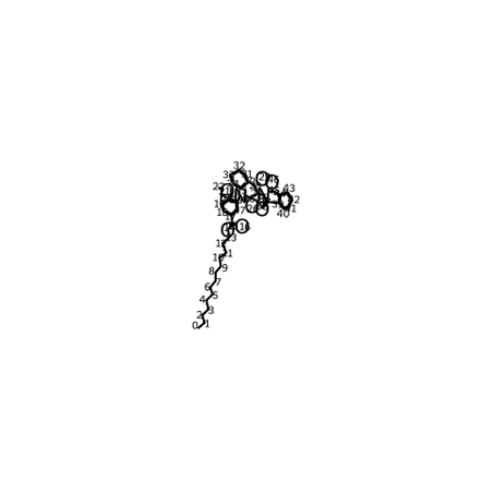 CCCCCCCCCCCCCCOC(=O)c1ccc(OC)c(NC(=O)C(C(=O)c2ccccc2)N2C(=O)c3ccccc3C2=O)c1